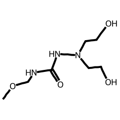 COCNC(=O)NN(CCO)CCO